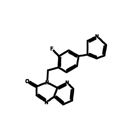 O=c1cnc2cccnc2n1Cc1ccc(-c2cccnc2)cc1F